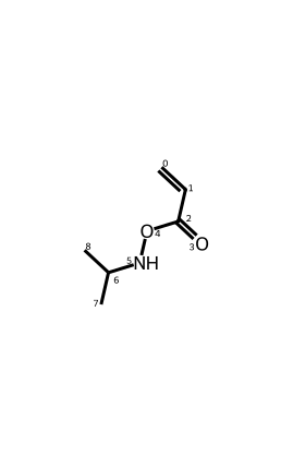 C=CC(=O)ONC(C)C